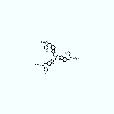 O=C(O)C(Cc1ccc2oc(CN(Cc3cc4cc(CC(C(=O)O)C5CCNC5)ccc4o3)Cc3cc4cc(CC(C(=O)O)C5CCNC5)ccc4o3)cc2c1)C1CCNC1